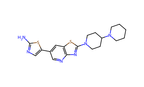 Nc1ncc(-c2cnc3nc(N4CCC(N5CCCCC5)CC4)sc3c2)s1